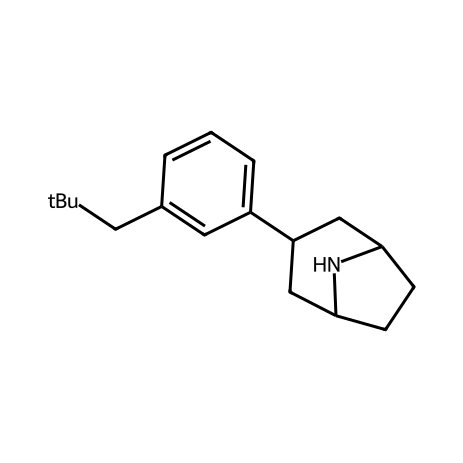 CC(C)(C)Cc1cccc(C2CC3CCC(C2)N3)c1